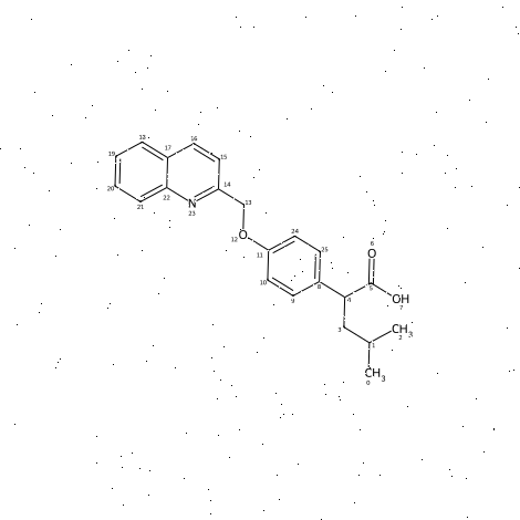 CC(C)CC(C(=O)O)c1ccc(OCc2ccc3ccccc3n2)cc1